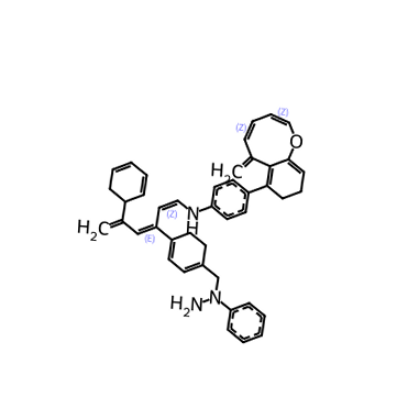 C=C1/C=C\C=C/OC2=CCCC(c3ccc(N/C=C\C(=C/C(=C)C4C=CC=CC4)C4=CC=C(CN(N)c5ccccc5)CC4)cc3)=C12